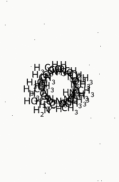 CC[C@@H]1NC(=O)[C@H]([C@H](O)[C@H](C)CCCCCCN)N(C)C(=O)[C@H](C(C)C)N(C)C(=O)[C@H](CC(C)C)N(C)C(=O)[C@H](CC(C)C)N(C)C(=O)[C@H](C)NC(=O)[C@@H](C)NC(=O)[C@@H](CC(C)C)N(C)C(=O)[C@@H](C(C)C)NC(=O)[C@H](CC(C)C)N(C)C(=O)[C@@H](SCCCCO)N(C)C1=O